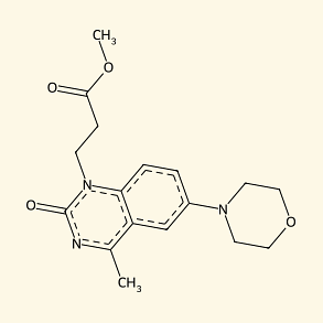 COC(=O)CCn1c(=O)nc(C)c2cc(N3CCOCC3)ccc21